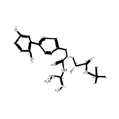 C[C@H](C[C@@H](Cc1ccc(-c2cc(Cl)ccc2Cl)cc1)C(=O)N/C(=N/N)NN)C(=O)OC(C)(C)C